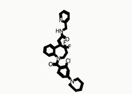 O=C(C=C1c2ccccc2N(C(=O)c2ccc(N3CCCCC3)cc2Cl)CCC1(F)F)NCc1ccccn1